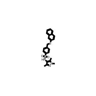 Cc1nn(C)c(C)c1NS(=O)(=O)c1ccc(CSc2ccc3ccccc3c2)cc1